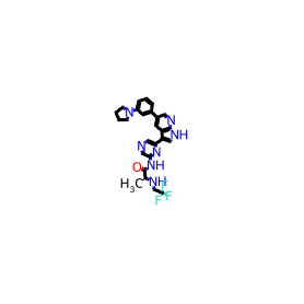 C[C@@H](NCC(F)(F)F)C(=O)Nc1cncc(-c2c[nH]c3ncc(-c4cccc(N5CCCC5)c4)cc23)n1